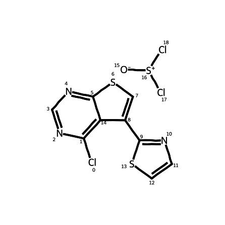 Clc1ncnc2scc(-c3nccs3)c12.[O-][S+](Cl)Cl